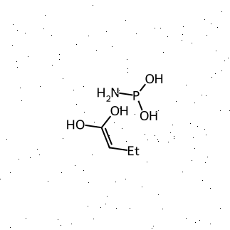 CCC=C(O)O.NP(O)O